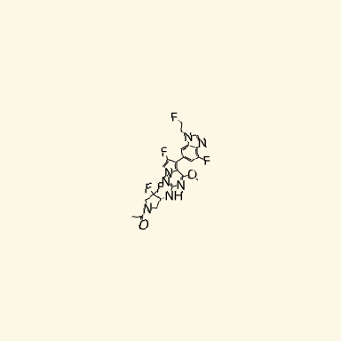 COc1nc(N[C@@H]2CN(C(C)=O)CC2(F)F)nn2cc(F)c(-c3cc(F)c4ncn(CCF)c4c3)c12